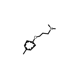 Cc1ccc(OCCCN(C)C)cc1